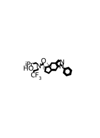 CC(C)CN(CC(O)C(F)(F)F)C(=O)[C@H]1CCC2=Cc3c(cnn3-c3ccccc3)C[C@@]21C